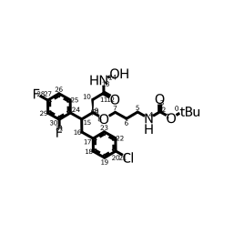 CC(C)(C)OC(=O)NCCCO[C@H](CC(=O)NO)C(Cc1ccc(Cl)cc1)c1ccc(F)cc1F